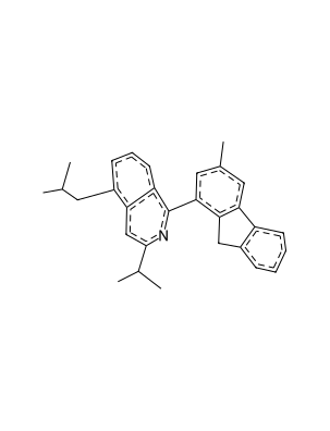 Cc1cc2c(c(-c3nc(C(C)C)cc4c(CC(C)C)cccc34)c1)Cc1ccccc1-2